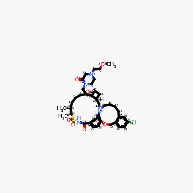 COCCN1CCN(CC2(O)CCC[C@H](C)[C@@H](C)S(=O)(=O)NC(=O)c3ccc4c(c3)N(CCCCc3cc(Cl)ccc3CO4)C[C@@H]3CC[C@H]32)C(=O)C1